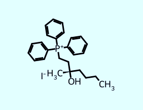 CCCC[C@](C)(O)CC[P+](c1ccccc1)(c1ccccc1)c1ccccc1.[I-]